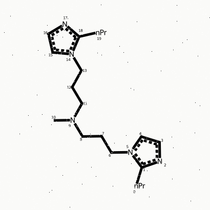 CCCc1nccn1CCCN(C)CCCn1ccnc1CCC